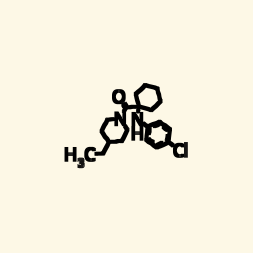 CCC1CCN(C(=O)C2(Nc3ccc(Cl)cc3)CCCCC2)CC1